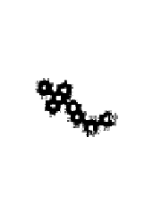 CC12C=CC=CC1=C(c1ccccc1)c1ccccc1C2C1=Cc2ccc(-c3cncc(C4C=CN=CC4)c3)cc2CC1